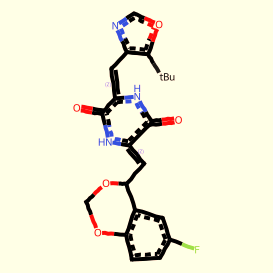 CC(C)(C)c1ocnc1/C=c1\[nH]c(=O)/c(=C/C2OCOc3ccc(F)cc32)[nH]c1=O